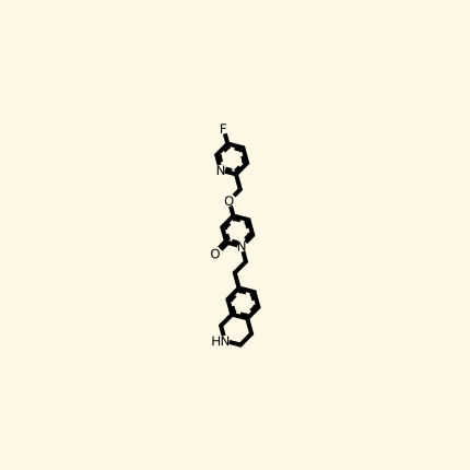 O=c1cc(OCc2ccc(F)cn2)ccn1CCc1ccc2c(c1)CNCC2